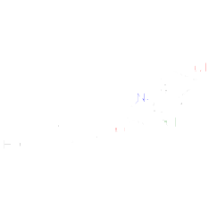 CCCCCCCCOc1cnc(-c2ccc(O)cc2)c(Cl)c1